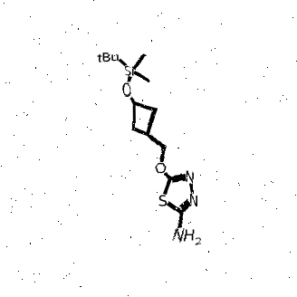 CC(C)(C)[Si](C)(C)OC1CC(COc2nnc(N)s2)C1